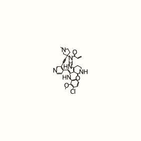 C=CC(=O)N[C@@]1(C#Cc2cnccc2-c2[nH]c3c(c2Nc2cccc(Cl)c2OC)C(=O)NCC3)CCN(C)C1